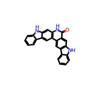 O=c1[nH]c2cc3[nH]c4ccccc4c3cc2c2cc3c(cc12)[nH]c1ccccc13